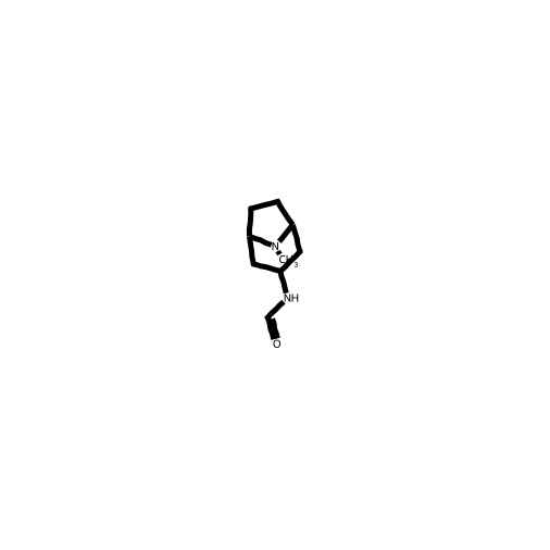 CN1C2CCC1CC(N[C]=O)C2